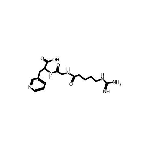 N=C(N)NCCCCC(=O)NCC(=O)NC(Cc1cccnc1)C(=O)O